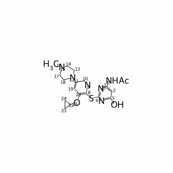 CC(=O)Nc1cc(O)nc(Sc2ncc(N3CCN(C)CC3)cc2OC2CC2)n1